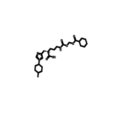 CC1CCC(n2cnc(C[C@H](CCCNC(=O)OCOC(=O)C3CCCCC3)C(=O)O)c2)CC1